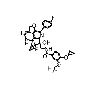 COc1cc(C(=O)NC[C@](O)(c2nc(-c3ccc(F)cc3)c3c4c2[C@@H](C2CC2)NC[C@@]4(C)CO3)C(F)(F)F)ccc1OC1CC1